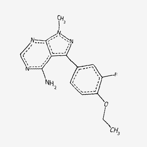 CCOc1ccc(-c2nn(C)c3ncnc(N)c23)cc1F